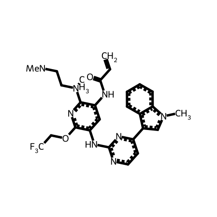 C=CC(=O)Nc1cc(Nc2nccc(-c3cn(C)c4ccccc34)n2)c(OCC(F)(F)F)nc1N(C)CCNC